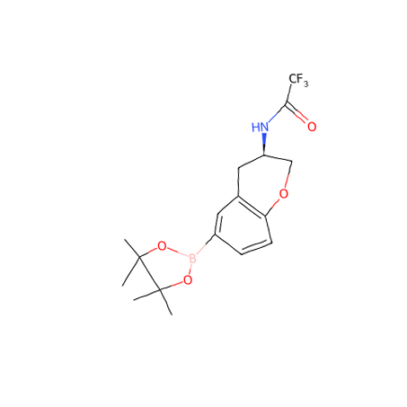 CC1(C)OB(c2ccc3c(c2)C[C@@H](NC(=O)C(F)(F)F)CO3)OC1(C)C